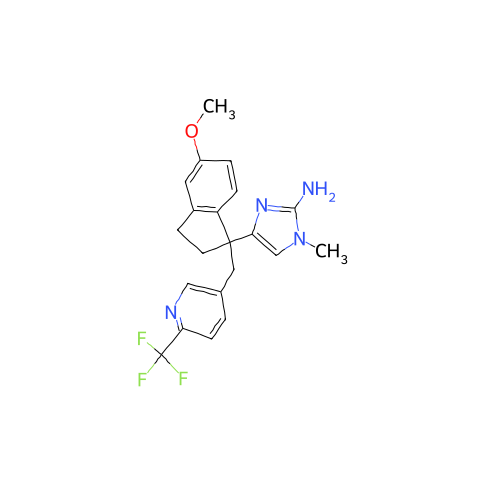 COc1ccc2c(c1)CCC2(Cc1ccc(C(F)(F)F)nc1)c1cn(C)c(N)n1